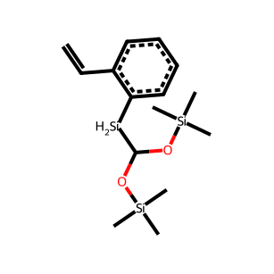 C=Cc1ccccc1[SiH2]C(O[Si](C)(C)C)O[Si](C)(C)C